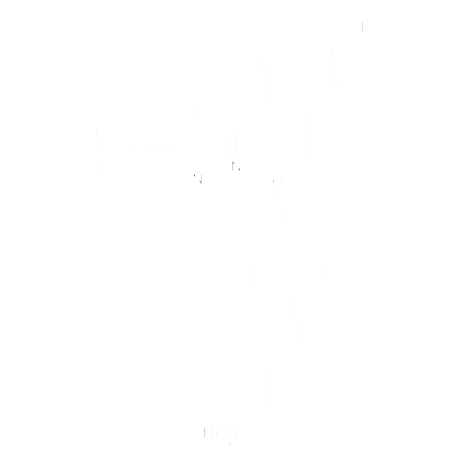 O=C(O)CCCc1ccc(OCc2cc(F)ccc2-c2nnc(C3CC3)s2)cc1